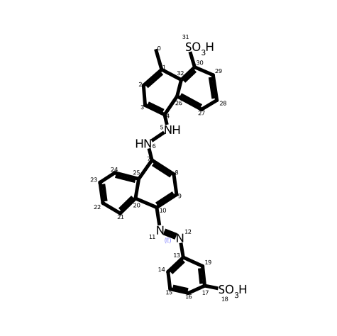 Cc1ccc(NNc2ccc(/N=N/c3cccc(S(=O)(=O)O)c3)c3ccccc23)c2cccc(S(=O)(=O)O)c12